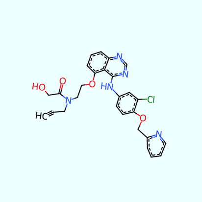 C#CCN(CCOc1cccc2ncnc(Nc3ccc(OCc4ccccn4)c(Cl)c3)c12)C(=O)CO